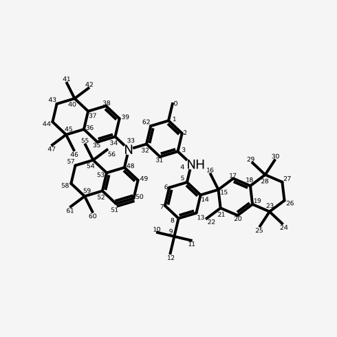 Cc1cc(Nc2ccc(C(C)(C)C)cc2C2(C)C=C3C(=CC2C)C(C)(C)CCC3(C)C)cc(N(C2=CC3C(C=C2)C(C)(C)CCC3(C)C)c2cc#cc3c2C(C)(C)CCC3(C)C)c1